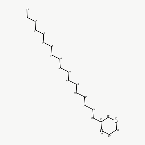 CCCCCCCCCCCCCCCCCCC1COCCO1